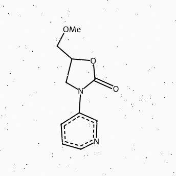 COCC1CN(c2cccnc2)C(=O)O1